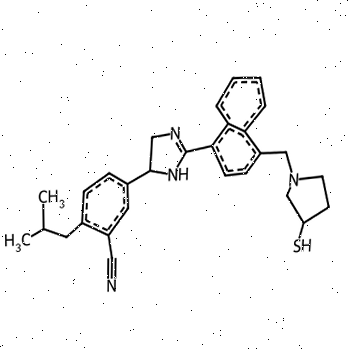 CC(C)Cc1ccc(C2CN=C(c3ccc(CN4CCC(S)C4)c4ccccc34)N2)cc1C#N